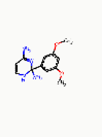 COc1cc(OC)cc(C2(N)N=C(N)C=CN2)c1